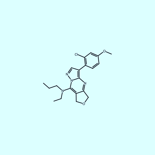 CCCN(CC)c1c2c(nc3c(-c4ccc(OC)cc4Cl)cnn13)COC2